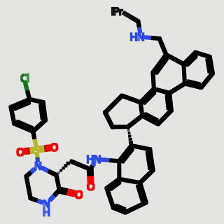 CC(C)CNCc1cc2c3c(ccc2c2ccccc12)[C@H](c1ccc2ccccc2c1NC(=O)C[C@@H]1C(=O)NCCN1S(=O)(=O)c1ccc(Cl)cc1)CCC3